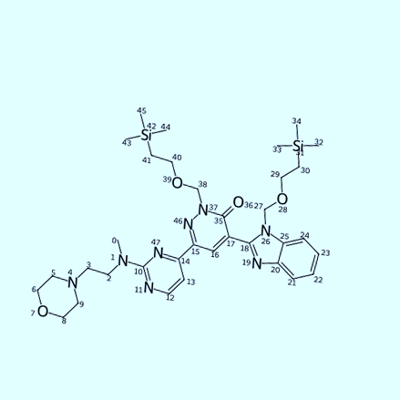 CN(CCN1CCOCC1)c1nccc(-c2cc(-c3nc4ccccc4n3COCC[Si](C)(C)C)c(=O)n(COCC[Si](C)(C)C)n2)n1